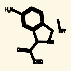 CCCC.Nc1ccc2c(c1)C(C(=O)C=O)NC2